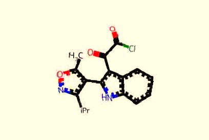 Cc1onc(C(C)C)c1-c1[nH]c2ccccc2c1C(=O)C(=O)Cl